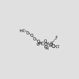 C#CCOCCOCCOCCOC(=O)N1CCC2(CC1)C(=O)N(Cc1nc3ccc(Cl)cc3n1CCCCF)c1cnccc12